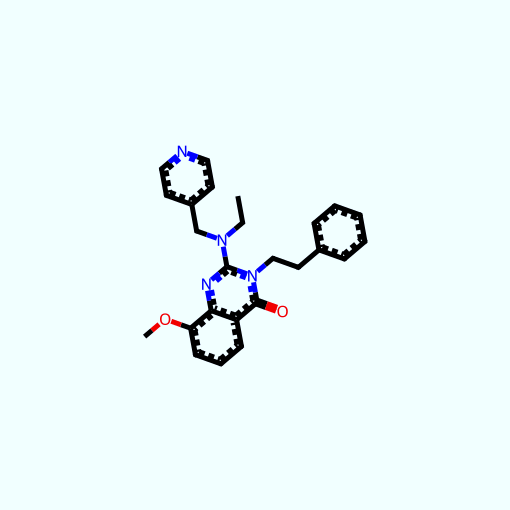 CCN(Cc1ccncc1)c1nc2c(OC)cccc2c(=O)n1CCc1ccccc1